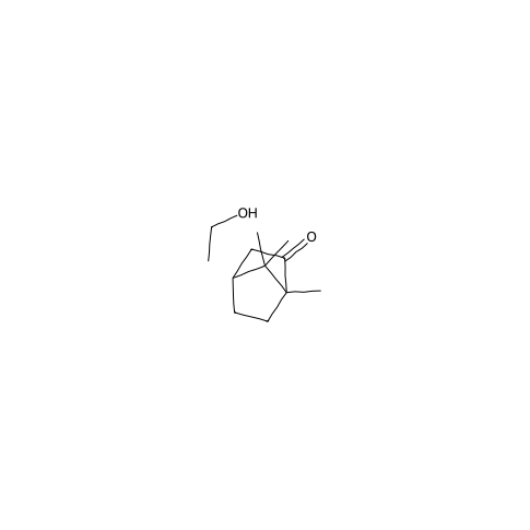 CC12CCC(CC1=O)C2(C)C.CCO